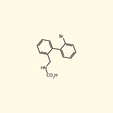 O=C(O)NCc1ccccc1-c1ccccc1Br